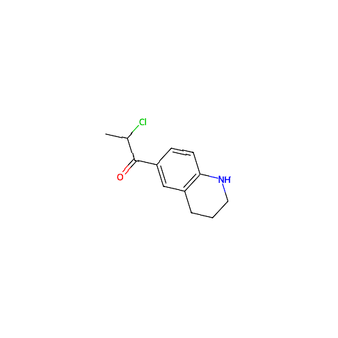 CC(Cl)C(=O)c1ccc2c(c1)CCCN2